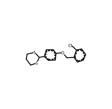 Clc1ccccc1COc1ccc(C2SCCCS2)cc1